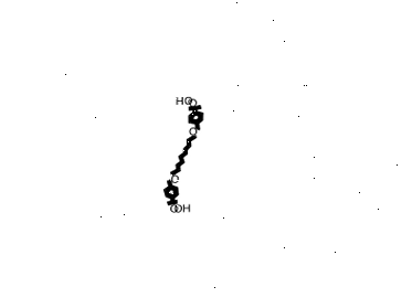 CC(C)(OO)c1ccc(COCCCCCCCCCCOCc2ccc(C(C)(C)OO)cc2)cc1